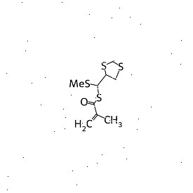 C=C(C)C(=O)SC(SC)C1CSCS1